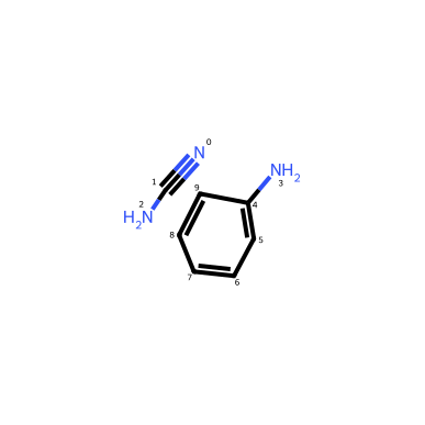 N#CN.Nc1ccccc1